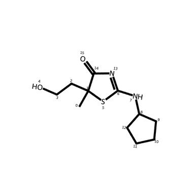 CC1(CCO)SC(NC2CCCC2)=NC1=O